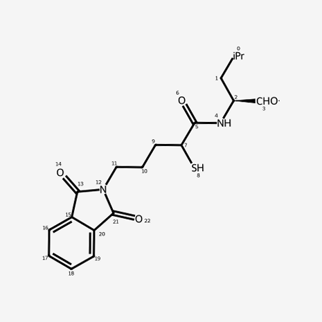 CC(C)C[C@@H]([C]=O)NC(=O)C(S)CCCN1C(=O)c2ccccc2C1=O